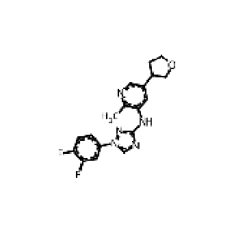 Cc1ncc(C2CCOC2)cc1Nc1ncn(-c2ccc(F)c(F)c2)n1